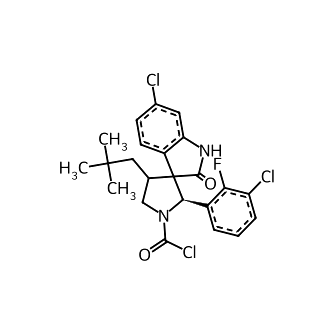 CC(C)(C)CC1CN(C(=O)Cl)[C@H](c2cccc(Cl)c2F)C12C(=O)Nc1cc(Cl)ccc12